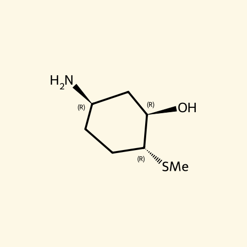 CS[C@@H]1CC[C@@H](N)C[C@H]1O